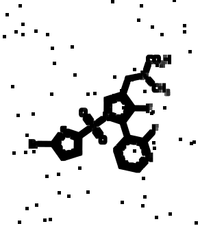 CN(Cc1cn(S(=O)(=O)c2ccc(Br)s2)c(-c2cccnc2F)c1F)C(=O)O